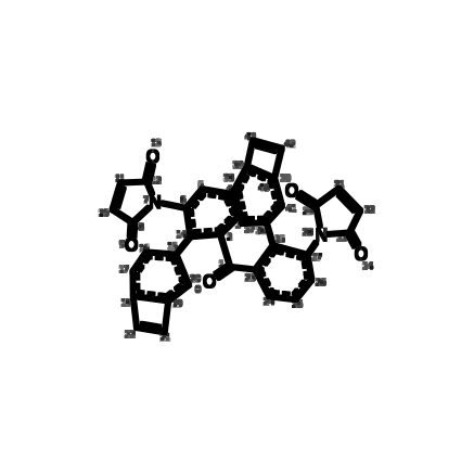 O=C(c1cccc(N2C(=O)C=CC2=O)c1-c1ccc2c(c1)C=C2)c1cccc(N2C(=O)C=CC2=O)c1-c1ccc2c(c1)C=C2